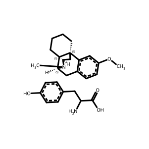 COc1ccc2c(c1)[C@]13CCCC[C@@H]1[C@H](C2)N(C)CC3.NC(Cc1ccc(O)cc1)C(=O)O